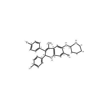 CC1=C(c2ccc(F)cc2)C(c2ccc(I)cc2)Oc2cc(Br)c(OC3CCCCO3)cc21